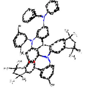 Cc1cc2c3c(c1)N(c1ccc(C(C)(C)C)cc1-c1ccc4c(c1)C(C)(C)CC4(C)C)c1cc4c(cc1B3c1ccc(N(c3ccccc3)c3ccccc3)cc1N2c1cc(C(C)(C)C)ccc1C)C(C)(C)CC4(C)C